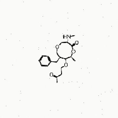 CN[C@H]1COC[C@H](Cc2ccccc2)[C@@H](OCCC(C)=O)[C@H](C)OC1=O